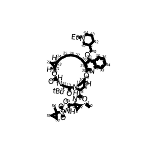 C=C[C@@H]1C[C@]1(NC(=O)[C@@H]1C[C@@H]2CN1C(=O)[C@H](C(C)(C)C)NC(=O)O[C@@H]1C[C@H]1CCCCCc1c(nc3ccccc3c1OCC1CCCN(CC)C1)O2)C(=O)NS(=O)(=O)C1(C)CC1